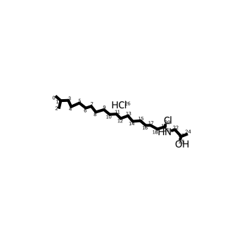 CC(C)CCCCCCCCCCCCCCCCC(Cl)NCC(C)O.Cl